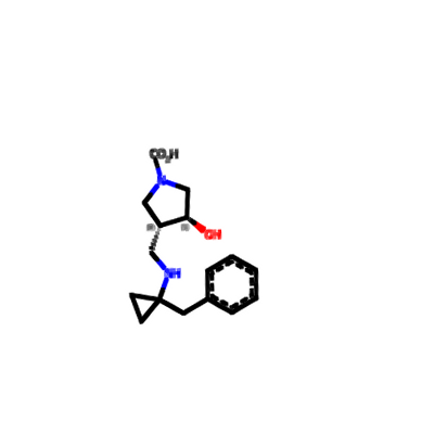 O=C(O)N1C[C@@H](CNC2(Cc3ccccc3)CC2)[C@H](O)C1